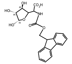 O=C(NC(C(=O)O)C1O[C@H](O)[C@H](O)[C@H]1O)OCC1c2ccccc2-c2ccccc21